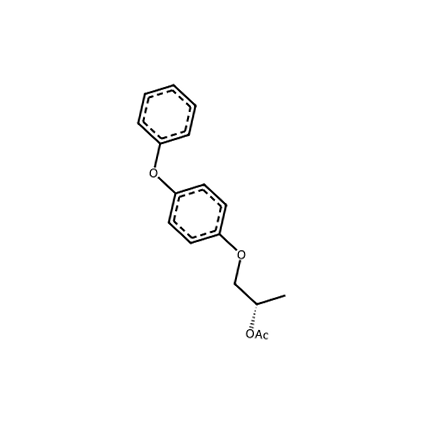 CC(=O)O[C@@H](C)COc1ccc(Oc2ccccc2)cc1